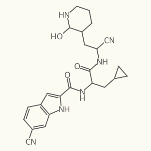 N#Cc1ccc2cc(C(=O)NC(CC3CC3)C(=O)NC(C#N)CC3CCCNC3O)[nH]c2c1